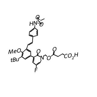 COc1c(C=Cc2ccc(NS(C)(=O)=O)cc2)cc(-c2cc(F)cn(COC(=O)CCC(=O)O)c2=O)cc1C(C)(C)C